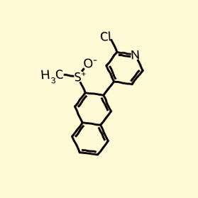 C[S+]([O-])c1cc2ccccc2cc1-c1ccnc(Cl)c1